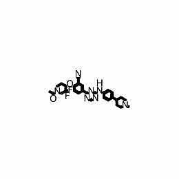 CC(=O)N1CCC(Oc2ccc(-c3ncnc(Nc4ccc(C5CCN(C)CC5)cc4)n3)cc2C#N)C(F)(F)C1